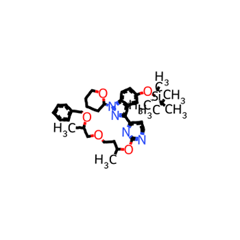 CC(COCCC(C)Oc1nccc(-c2nn(C3CCCCO3)c3ccc(O[Si](C)(C)C(C)(C)C)cc23)n1)OCc1ccccc1